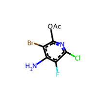 CC(=O)Oc1nc(Cl)c(F)c(N)c1Br